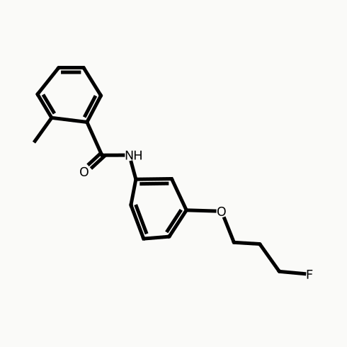 Cc1ccccc1C(=O)Nc1cccc(OCCCF)c1